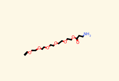 C=COCCOCCOCCOCCOCCOC(=O)CCN